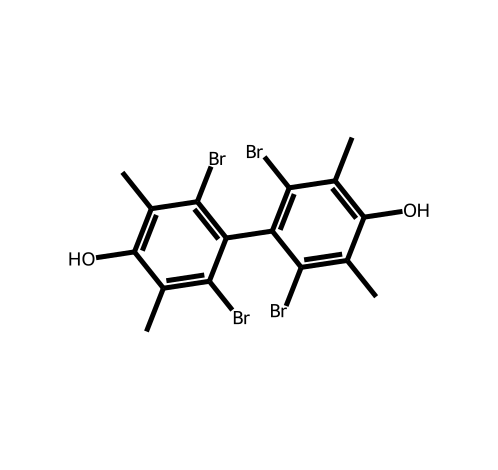 Cc1c(O)c(C)c(Br)c(-c2c(Br)c(C)c(O)c(C)c2Br)c1Br